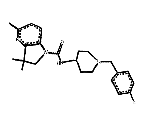 Cc1ccc2c(n1)C(C)(C)CN2C(=O)NC1CCN(Cc2ccc(F)cc2)CC1